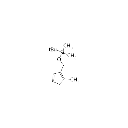 CC1=C(CO[Si](C)(C)C(C)(C)C)C=CC1